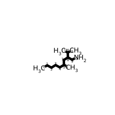 CCCCCC(C)CC(CN)C(C)C